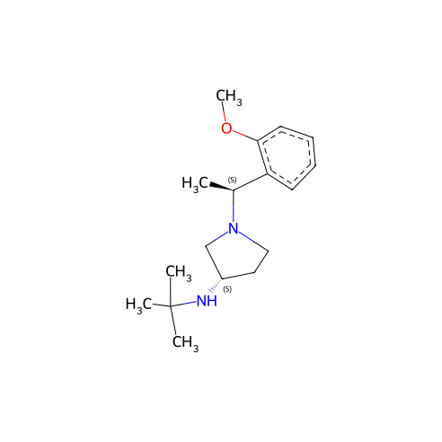 COc1ccccc1[C@H](C)N1CC[C@H](NC(C)(C)C)C1